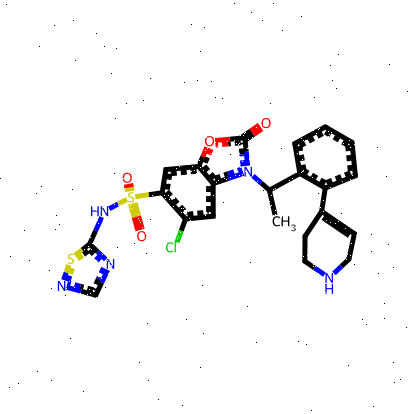 CC(c1ccccc1C1=CCNCC1)n1c(=O)oc2cc(S(=O)(=O)Nc3ncns3)c(Cl)cc21